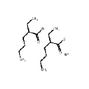 CCCCC(CC)C(=O)[O-].CCCCC(CC)C(=O)[O-].[Bi+2]